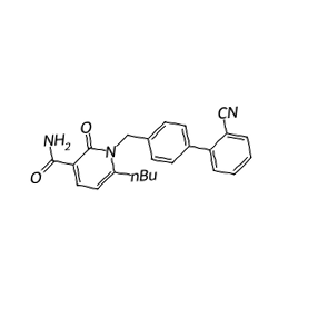 CCCCc1ccc(C(N)=O)c(=O)n1Cc1ccc(-c2ccccc2C#N)cc1